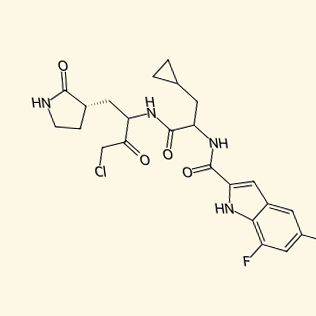 O=C(NC(CC1CC1)C(=O)NC(C[C@@H]1CCNC1=O)C(=O)CCl)c1cc2cc(F)cc(F)c2[nH]1